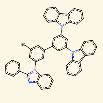 N#Cc1cc(-c2cc(-n3c4ccccc4c4ccccc43)cc(-n3c4ccccc4c4ccccc43)c2)cc(-n2c(-c3ccccc3)nc3ccccc32)c1